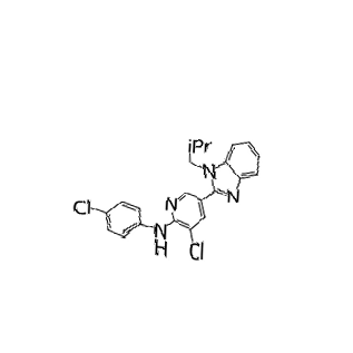 CC(C)Cn1c(-c2cnc(Nc3ccc(Cl)cc3)c(Cl)c2)nc2ccccc21